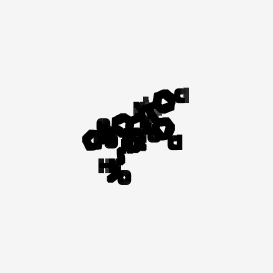 CCOc1cc(S(=O)(=O)N2CCCC2)ccc1C1=N[C@@](C)(c2ccc(Cl)cc2)[C@@](C)(c2ccc(Cl)cc2)N1C(=O)N1CCN(CCNC(C)=O)CC1